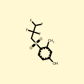 Cc1cc(O)ccc1S(=O)(=O)CC(F)(F)C(F)F